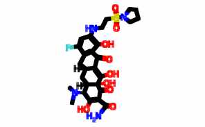 CN(C)[C@@H]1C(O)=C(C(N)=O)C(=O)[C@@]2(O)C(O)=C3C(=O)c4c(O)c(NCCS(=O)(=O)N5CCCC5)cc(F)c4C[C@H]3C[C@@H]12